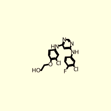 OCCOc1ccc(Nc2cc(Nc3ccc(F)c(Cl)c3)ncn2)cc1Cl